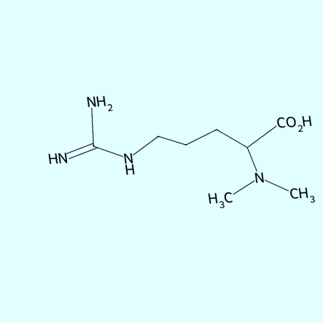 CN(C)C(CCCNC(=N)N)C(=O)O